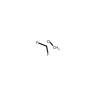 CCl.FCF